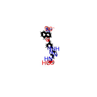 O=C(O)NCc1cnc(Nc2cc(COc3ccc([N+](=O)[O-])c4ccccc34)ccn2)cn1